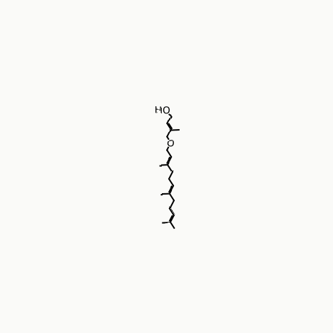 CC(C)=CCC/C(C)=C/CC/C(C)=C/COC/C(C)=C/CO